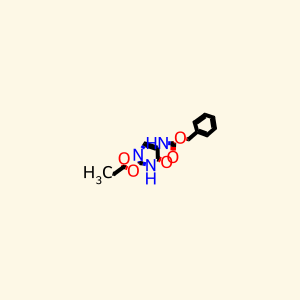 CCC(=O)Oc1ncc(NC(=O)OCc2ccccc2)c(=O)[nH]1